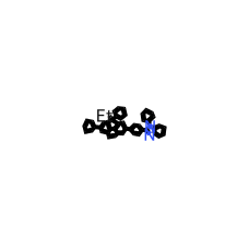 CCC1(c2ccccc2)c2cc(-c3ccccc3)cc3ccc4cc(-c5ccc(-c6nc7ccccc7n6-c6ccccc6)cc5)cc1c4c23